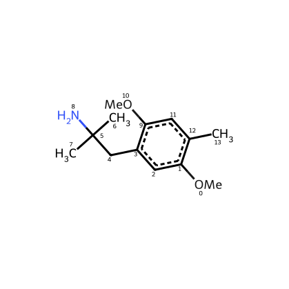 COc1cc(CC(C)(C)N)c(OC)cc1C